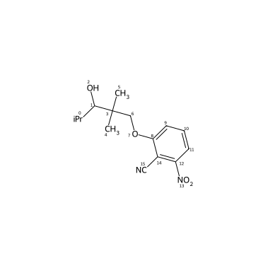 CC(C)C(O)C(C)(C)COc1cccc([N+](=O)[O-])c1C#N